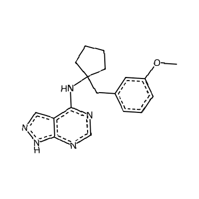 COc1cccc(CC2(Nc3ncnc4[nH]ncc34)CCCC2)c1